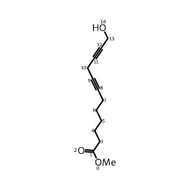 COC(=O)CCCCCC#CCC#CCO